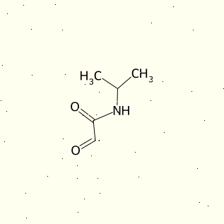 CC(C)NC(=O)[C]=O